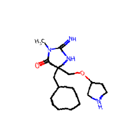 CN1C(=N)NC(COC2CCNC2)(CC2CCCCC2)C1=O